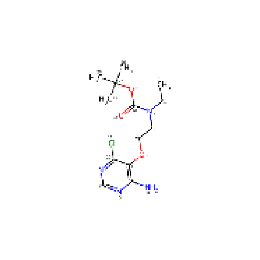 CCN(CCOc1c(N)ncnc1Cl)C(=O)OC(C)(C)C